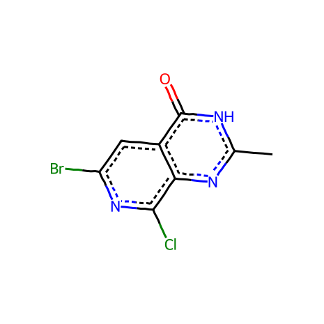 Cc1nc2c(Cl)nc(Br)cc2c(=O)[nH]1